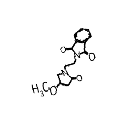 COC1CC(=O)N(CCN2C(=O)c3ccccc3C2=O)C1